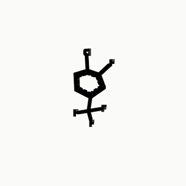 Fc1cc(C(F)(F)F)ccc1Cl